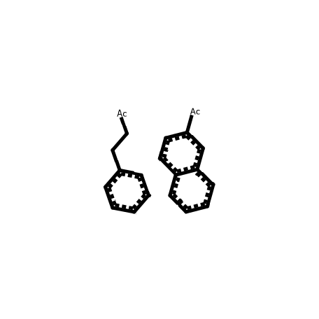 CC(=O)CCc1ccccc1.CC(=O)c1ccc2ccccc2c1